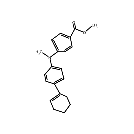 COC(=O)c1ccc(N(C)c2ccc(C3=CCCCC3)cc2)cc1